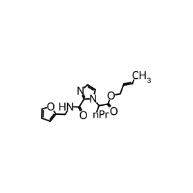 CC=CCOC(=O)C(CCC)n1ccnc1C(=O)NCc1ccco1